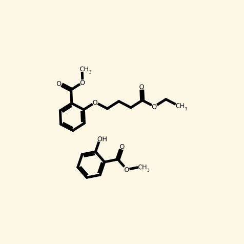 CCOC(=O)CCCOc1ccccc1C(=O)OC.COC(=O)c1ccccc1O